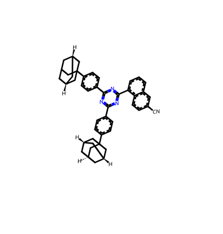 N#Cc1ccc2c(-c3nc(-c4ccc(C56CC7C[C@H](C5)C[C@@H](C7)C6)cc4)nc(-c4ccc(C56C[C@H]7C[C@@H](C5)C[C@@H](C6)C7)cc4)n3)cccc2c1